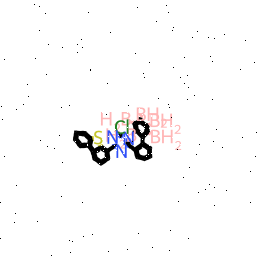 Bc1c(B)c(B)c(-c2ccccc2-c2nc(Cl)nc(-c3cccc4c3sc3ccccc34)n2)c(B)c1B